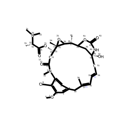 COc1cc2cc(c1Cl)N(C)C(=O)C[C@H](OC(=O)[C@H](C)N(C)C)[C@]1(C)OC1[C@H](C)C1C[C@](O)(C/C=C/C=C(\C)C2)NC(=O)O1